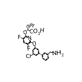 CCCC(Oc1nc(Oc2cc(Cl)cc(-c3cccc(CN)c3)c2)c(F)cc1F)C(=O)O